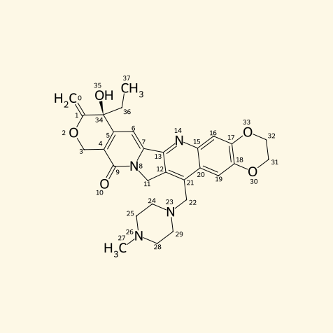 C=C1OCc2c(cc3n(c2=O)Cc2c-3nc3cc4c(cc3c2CN2CCN(C)CC2)OCCO4)[C@@]1(O)CC